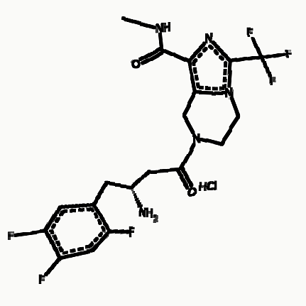 CNC(=O)c1nc(C(F)(F)F)n2c1CN(C(=O)C[C@H](N)Cc1cc(F)c(F)cc1F)CC2.Cl